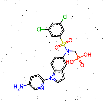 Nc1ccc(-n2ccc3cc(N(CP(=O)(O)O)S(=O)(=O)c4cc(Cl)cc(Cl)c4)ccc32)nc1